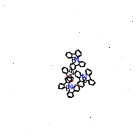 c1ccc([Si](c2ccc3c(c2)-c2ccccc2N2B3c3ccccc3-c3ccccc32)(c2ccc3c(c2)-c2ccccc2B2c4ccccc4-c4ccccc4N23)c2ccccc2-c2ccc3c(c2)-c2ccccc2B2c4ccccc4-c4ccccc4N23)cc1